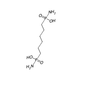 NP(=O)(O)CCCCCCP(N)(=O)O